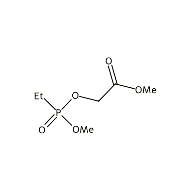 CCP(=O)(OC)OCC(=O)OC